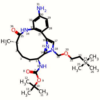 C[C@H]1CCC[C@H](NC(=O)OC(C)(C)C)c2nc(cn2COCC[Si](C)(C)C)-c2ccc(N)cc2NC1=O